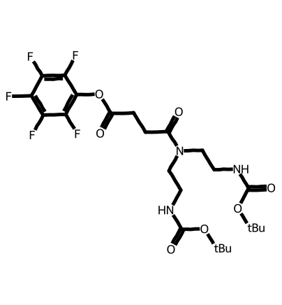 CC(C)(C)OC(=O)NCCN(CCNC(=O)OC(C)(C)C)C(=O)CCC(=O)Oc1c(F)c(F)c(F)c(F)c1F